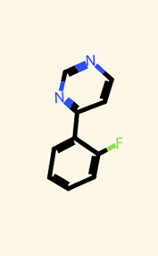 Fc1ccccc1-c1ccncn1